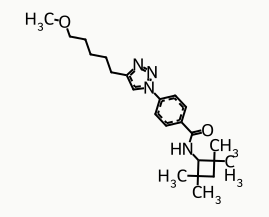 COCCCCCc1cn(-c2ccc(C(=O)NC3C(C)(C)CC3(C)C)cc2)nn1